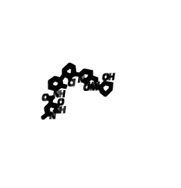 COc1nc(-c2cccc(-c3cccc(NC(=O)c4cc(C)n[nH]c4=O)c3C)c2Cl)ccc1CNC1CCCC[C@@H]1O